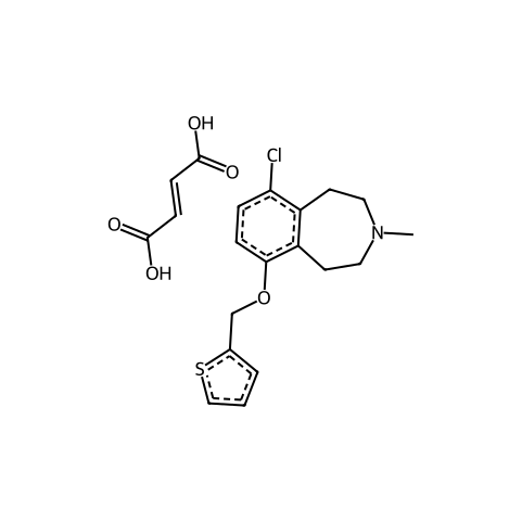 CN1CCc2c(Cl)ccc(OCc3cccs3)c2CC1.O=C(O)C=CC(=O)O